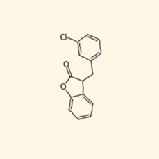 O=C1Oc2ccccc2C1Cc1cccc(Cl)c1